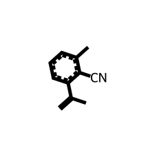 C=C(C)c1cccc(C)c1C#N